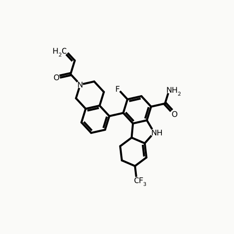 C=CC(=O)N1CCc2c(cccc2-c2c(F)cc(C(N)=O)c3c2C2CCC(C(F)(F)F)C=C2N3)C1